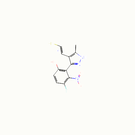 Cc1[nH]nc(-c2c(O)ccc(F)c2[N+](=O)[O-])c1/C=C/S